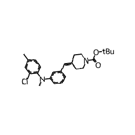 Cc1ccc(N(C)c2cccc(C=C3CCN(C(=O)OC(C)(C)C)CC3)c2)c(Cl)c1